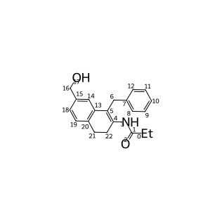 CCC(=O)NC1=C(Cc2ccccc2)c2cc(CO)ccc2CC1